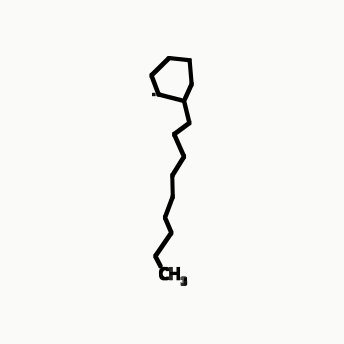 CCCCCCCCCC1[CH]CCCC1